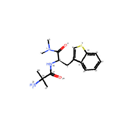 CN(C)C(=O)[C@@H](Cc1csc2ccccc12)NC(=O)C(C)(C)N